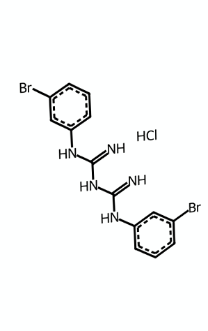 Cl.N=C(NC(=N)Nc1cccc(Br)c1)Nc1cccc(Br)c1